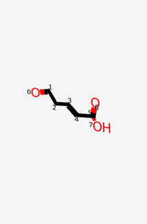 O=CC/C=C/C(=O)O